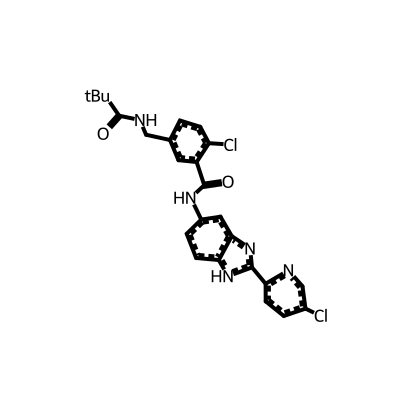 CC(C)(C)C(=O)NCc1ccc(Cl)c(C(=O)Nc2ccc3[nH]c(-c4ccc(Cl)cn4)nc3c2)c1